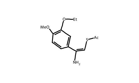 CCOc1cc(/C(N)=C\SC(C)=O)ccc1OC